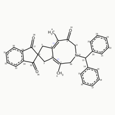 C/C1=C2\CC3(C\C2=C(/C)C(=O)CN(C(c2ccccc2)c2ccccc2)C1)C(=O)c1ccccc1C3=O